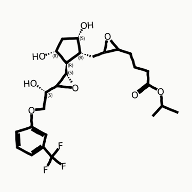 CC(C)OC(=O)CCCC1OC1C[C@@H]1[C@@H]([C@@H]2OC2[C@@H](O)COc2cccc(C(F)(F)F)c2)[C@H](O)C[C@@H]1O